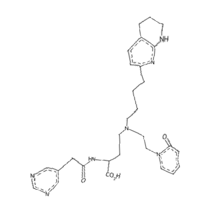 O=C(Cc1cncnc1)NC(CCN(CCCCc1ccc2c(n1)NCCC2)CCn1ccccc1=O)C(=O)O